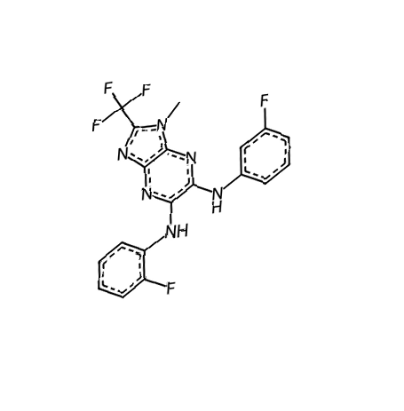 Cn1c(C(F)(F)F)nc2nc(Nc3ccccc3F)c(Nc3cccc(F)c3)nc21